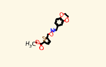 COC(=O)c1ccc(CO/N=C/c2ccc3c(c2)OCCO3)s1